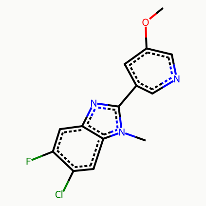 COc1cncc(-c2nc3cc(F)c(Cl)cc3n2C)c1